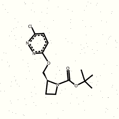 CC(C)(C)OC(=O)N1CC[C@H]1COc1ccc(Cl)nn1